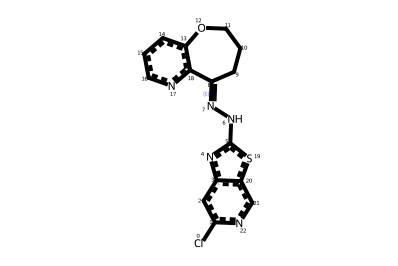 Clc1cc2nc(N/N=C3\CCCOc4cccnc43)sc2cn1